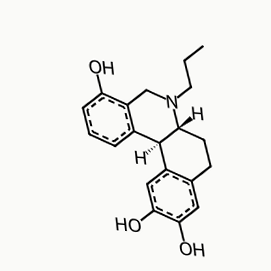 CCCN1Cc2c(O)cccc2[C@@H]2c3cc(O)c(O)cc3CC[C@H]21